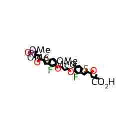 COc1cc2sc(C(=O)CC(C)(C)C(=O)O)cc2c(F)c1OCCCOc1c(OC)cc2sc(C(=O)CC(C)(C)P(=O)(OC)OC)cc2c1F